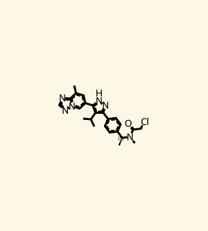 Cc1cc(-c2[nH]nc(-c3ccc([C@H](C)N(C)C(=O)CCl)cc3)c2C(C)C)cn2ncnc12